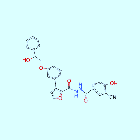 N#Cc1cc(C(=O)NNC(=O)c2occc2-c2cccc(OCC(O)c3ccccc3)c2)ccc1O